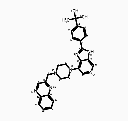 CC(C)(C)c1ccc(-c2nc3c(N4CCN(Cc5cnc6ccccc6n5)CC4)cncc3[nH]2)cc1